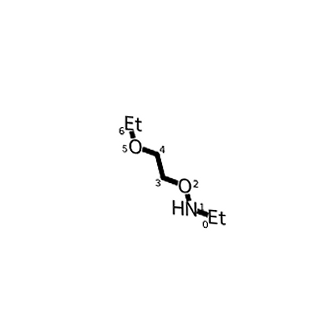 CCNOCCOCC